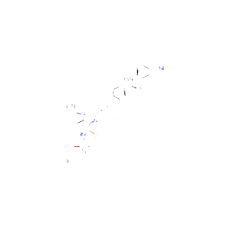 CC(ON=C(C(=O)NC1C(=O)N(OS(=O)(=O)O)C1(C)C)c1csc(N)n1)(C(=O)O)C1CCc2cc(C(=N)Nc3ccc(CN)cc3)ccc2O1